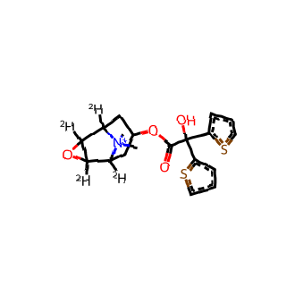 [2H]C12OC1([2H])C1([2H])CC(OC(=O)C(O)(c3cccs3)c3cccs3)CC2([2H])[N+]1(C)C